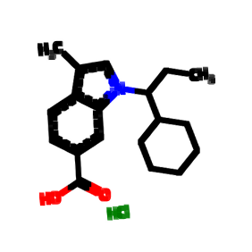 CCC(C1CCCCC1)n1cc(C)c2ccc(C(=O)O)cc21.Cl